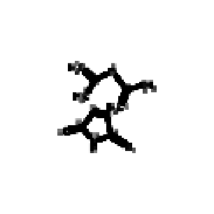 C=C(C)OC(=C)C.O=C1C=CC(=O)N1